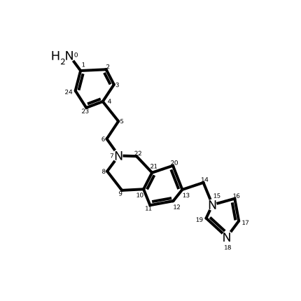 Nc1ccc(CCN2CCc3ccc(Cn4ccnc4)cc3C2)cc1